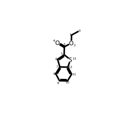 CCOC(=O)c1cc2ccccc2s1